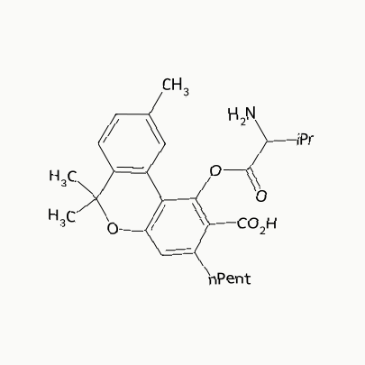 CCCCCc1cc2c(c(OC(=O)C(N)C(C)C)c1C(=O)O)-c1cc(C)ccc1C(C)(C)O2